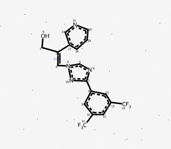 OC/C(=C/n1cnc(-c2cc(C(F)(F)F)cc(C(F)(F)F)c2)n1)c1cccnc1